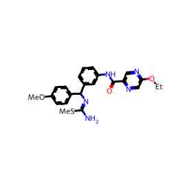 CCOc1cnc(C(=O)Nc2cccc(C(/N=C(/N)SC)c3ccc(OC)cc3)c2)cn1